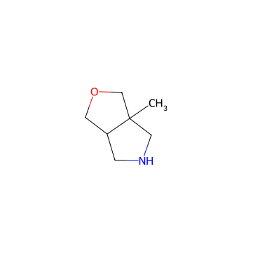 CC12CNCC1COC2